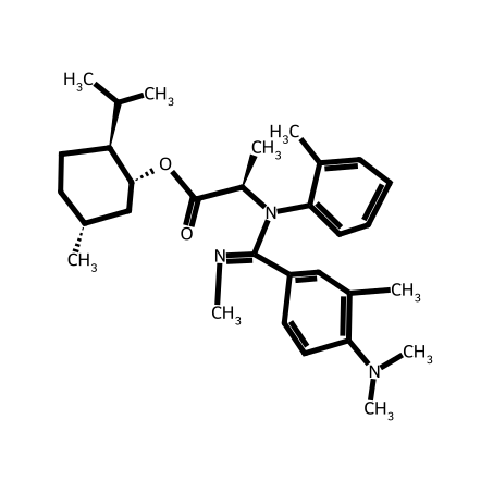 C/N=C(\c1ccc(N(C)C)c(C)c1)N(c1ccccc1C)[C@H](C)C(=O)O[C@@H]1C[C@H](C)CC[C@H]1C(C)C